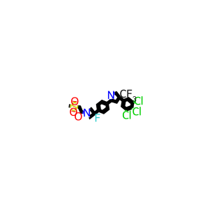 CS(=O)(=O)CC(=O)N1CC(F)(c2ccc(C3=NCC(c4cc(Cl)c(Cl)c(Cl)c4)(C(F)(F)F)C3)cc2)C1